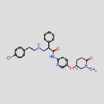 CN1C[C@@H](Oc2ccc(NC(=O)C(CNCCc3ccc(Cl)cc3)c3ccccc3)nc2)CCC1=O